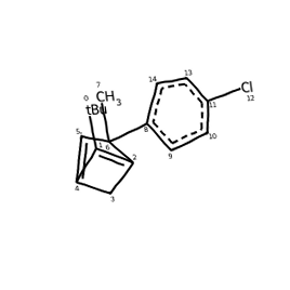 CC(C)(C)C1=C2CC1=[C]C2(C)c1ccc(Cl)cc1